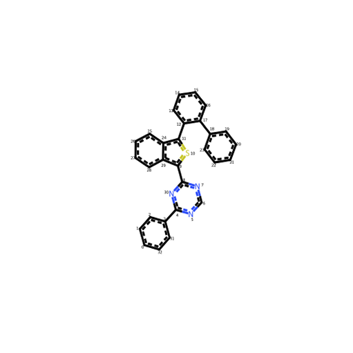 c1ccc(-c2ncnc(-c3sc(-c4ccccc4-c4ccccc4)c4ccccc34)n2)cc1